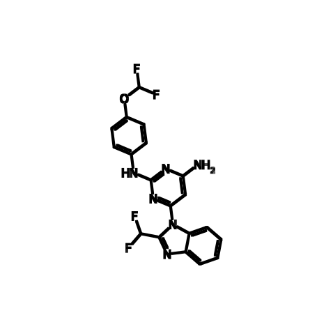 Nc1cc(-n2c(C(F)F)nc3ccccc32)nc(Nc2ccc(OC(F)F)cc2)n1